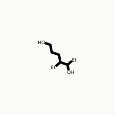 CCC(O)C(CC)CCCO